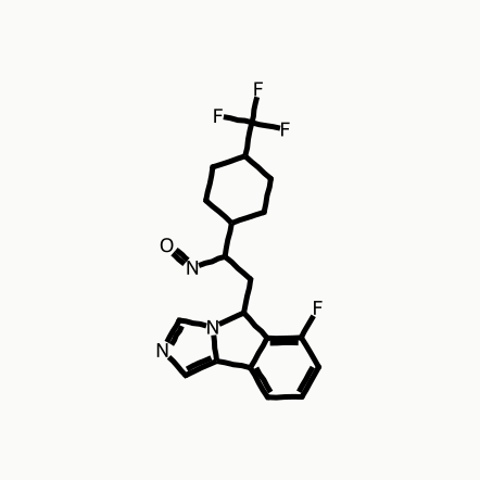 O=NC(CC1c2c(F)cccc2-c2cncn21)C1CCC(C(F)(F)F)CC1